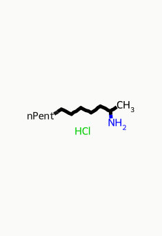 CCCCCCCCCCC(C)N.Cl